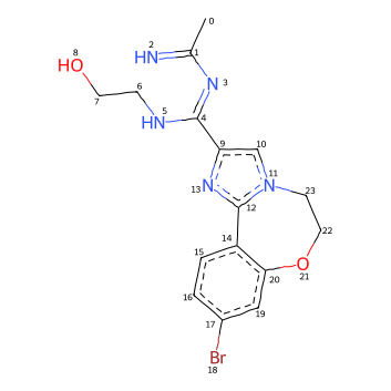 CC(=N)/N=C(\NCCO)c1cn2c(n1)-c1ccc(Br)cc1OCC2